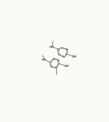 CNc1ccc(O)c(C)c1.CNc1ccc(O)cc1